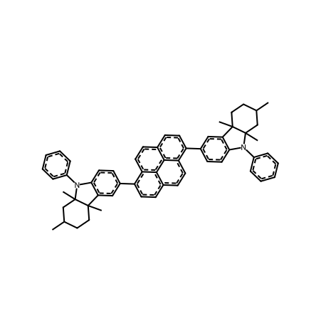 CC1CCC2(C)c3cc(-c4ccc5ccc6c(-c7ccc8c(c7)C7(C)CCC(C)CC7(C)N8c7ccccc7)ccc7ccc4c5c76)ccc3N(c3ccccc3)C2(C)C1